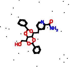 NC(=O)c1cc(CC2OC(c3ccccc3)OC3C(CO)OC(c4ccccc4)OC23)ccn1